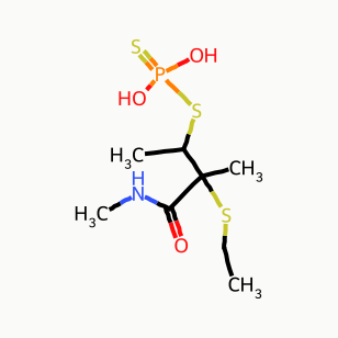 CCSC(C)(C(=O)NC)C(C)SP(O)(O)=S